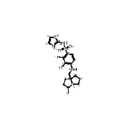 CC1CCC2(CNc3ccc(S(=O)(=O)Nc4nccs4)c(F)c3Cl)CCCN12